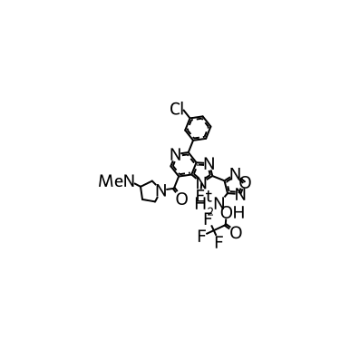 CCn1c(-c2nonc2N)nc2c(-c3cccc(Cl)c3)ncc(C(=O)N3CCC(NC)C3)c21.O=C(O)C(F)(F)F